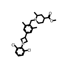 COC(=O)C1CCN(Cc2c(C)cc(C3CN(c4c(Cl)cccc4Cl)C3)cc2C)C(C)C1